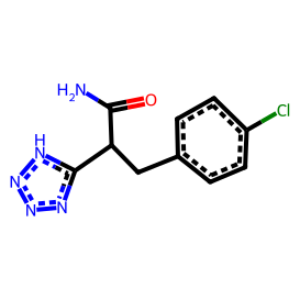 NC(=O)C(Cc1ccc(Cl)cc1)c1nnn[nH]1